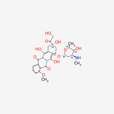 CN[C@H]1C[C@H](O[C@H]2C[C@](O)(C(=O)CO)CC3=C(O)C4C(=O)c5cccc(OC)c5C(=O)C4C(O)=C32)O[C@@H](C)[C@H]1O